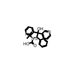 CC(C)(C)N(C(=O)O)[C@H](c1ccccc1)C(O)(c1cccnc1)c1cccnc1